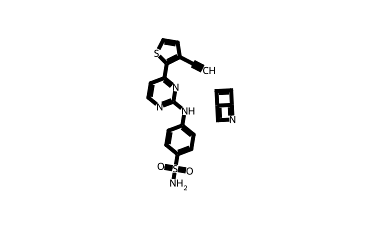 C#Cc1ccsc1-c1ccnc(Nc2ccc(S(N)(=O)=O)cc2)n1.c1cc2ncc1-2